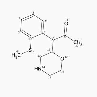 CSc1ccccc1C(C(C)=O)C1CNCCO1